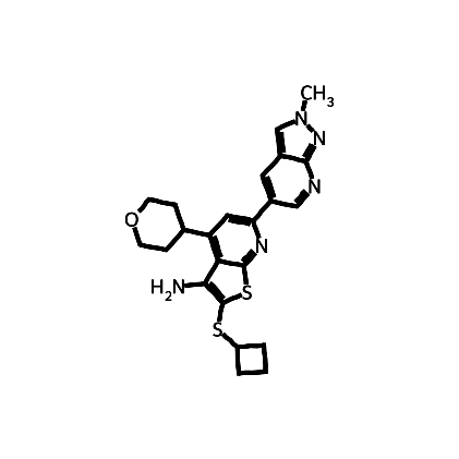 Cn1cc2cc(-c3cc(C4CCOCC4)c4c(N)c(SC5CCC5)sc4n3)cnc2n1